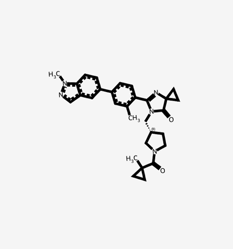 Cc1cc(-c2ccc3c(cnn3C)c2)ccc1C1=NC2(CC2)C(=O)N1C[C@@H]1CCN(C(=O)C2(C)CC2)C1